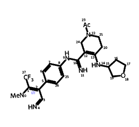 CN/C(=C(\C=N)c1ccc(NC(=N)C2=C(NC3CCOC3)CCN(C(C)=O)C2)cc1)C(F)(F)F